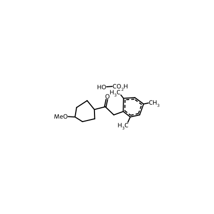 COC1CCC(C(=O)Cc2c(C)cc(C)cc2C)CC1.O=C(O)O